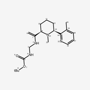 C=C(NCNC(=O)OC(C)(C)C)[C@H]1CCC[C@@H](c2ncccc2C)N1C